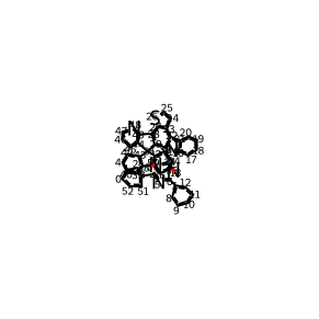 c1ccc(-c2nc(-c3ccccc3)nc(-n3c4ccccc4c4c5ccsc5c5c(c43)C3(c4ccccc4-c4ccccc43)c3cccnc3-5)n2)cc1